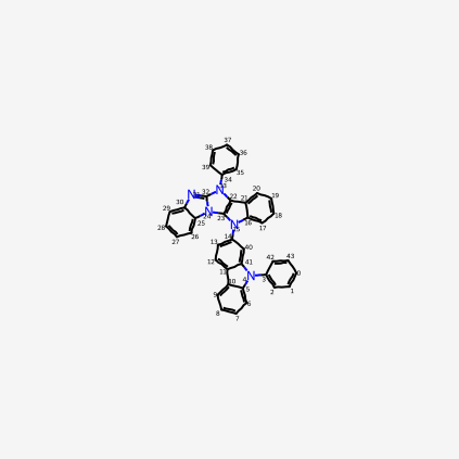 c1ccc(-n2c3ccccc3c3ccc(-n4c5ccccc5c5c4n4c6ccccc6nc4n5-c4ccccc4)cc32)cc1